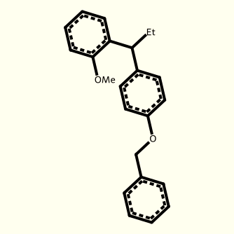 CCC(c1ccc(OCc2ccccc2)cc1)c1ccccc1OC